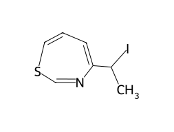 CC(I)C1=CC=CSC=N1